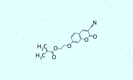 C=C(C)C(=O)OCCOc1ccc2cc(C#N)c(=O)oc2c1